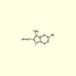 CCCCCc1oc2ccc(Br)cc2c1C(C)(C)C